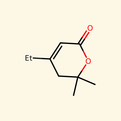 CCC1=CC(=O)OC(C)(C)C1